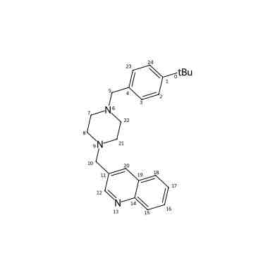 CC(C)(C)c1ccc(CN2CCN(Cc3cnc4ccccc4c3)CC2)cc1